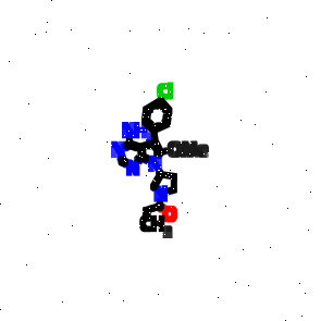 C=CC(=O)N1CCC(n2c(OC)c(-c3ccc(Cl)cc3)c3c(N)ncnc32)C1